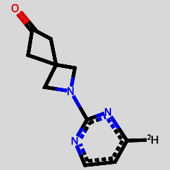 [2H]c1ccnc(N2CC3(CC(=O)C3)C2)n1